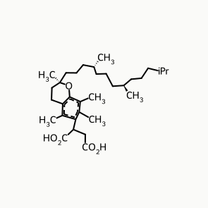 Cc1c(C)c(C(CC(=O)O)C(=O)O)c(C)c2c1O[C@](C)(CCC[C@H](C)CCC[C@H](C)CCCC(C)C)CC2